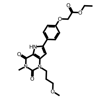 CCOC(=O)COc1ccc(-c2cc3c([nH]2)c(=O)n(C)c(=O)n3CCCOC)cc1